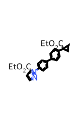 CCOC(=O)c1ccnn1-c1ccc(-c2ccc(C3(C(=O)OCC)CC3)cc2)cc1